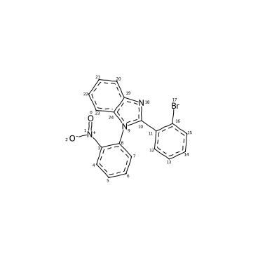 O=[N+]([O-])c1ccccc1-n1c(-c2ccccc2Br)nc2ccccc21